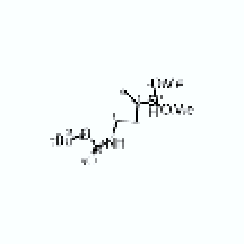 CO[SiH](OC)C(C)CCNC(=O)OC(C)(C)C